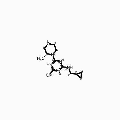 C[C@@H]1COCCN1c1nc(Cl)nc(NCC2CC2)n1